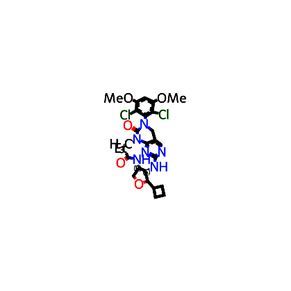 CCC(=O)N[C@H]1COC(C2CCC2)[C@H]1Nc1ncc2c(n1)N(C)C(=O)N(c1c(Cl)c(OC)cc(OC)c1Cl)C2